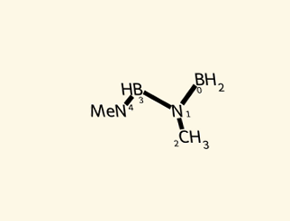 BN(C)BNC